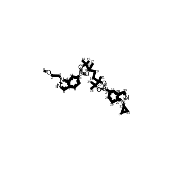 COCCn1ncc2ccc(B3OC(C)(C)C(C)(CCC4(C)OB(c5ccc6c(cnn6C6CC6)c5)OC4(C)C)O3)cc21